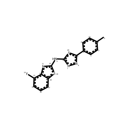 Cc1ccc(-c2nnc(Nc3nc4c(F)cccc4s3)s2)cc1